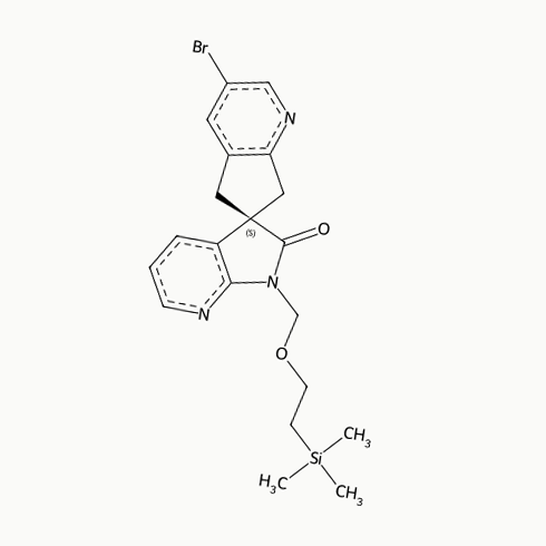 C[Si](C)(C)CCOCN1C(=O)[C@]2(Cc3cc(Br)cnc3C2)c2cccnc21